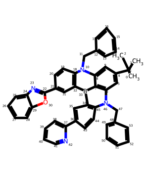 CC(C)(C)c1cc2c3c(c1)N(Cc1ccccc1)c1ccc(-c4nc5ccccc5o4)cc1B3c1cc(-c3ccccn3)ccc1N2Cc1ccccc1